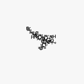 CCOC(=O)C(=N)C1=C(Nc2ccc(OC)cc2)C(=O)N(c2ccc(NC(=O)CCCCCBr)cc2)CC1